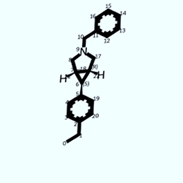 CCc1ccc([C@H]2[C@@H]3CN(Cc4ccccc4)C[C@@H]32)cc1